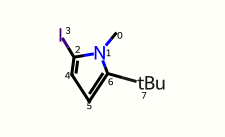 Cn1c(I)ccc1C(C)(C)C